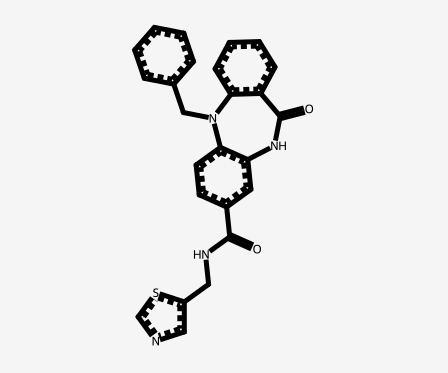 O=C(NCc1cncs1)c1ccc2c(c1)NC(=O)c1ccccc1N2Cc1ccccc1